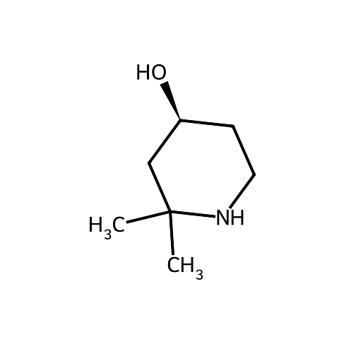 CC1(C)C[C@@H](O)CCN1